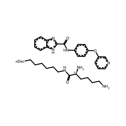 CCCCCCCCCCCCCCCCNC(=O)[C@@H](N)CCCCN.O=C(Nc1ccc(Oc2cccnc2)cc1)c1nc2ccccc2[nH]1